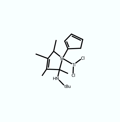 CC1=C(C)C(C)(NC(C)(C)C)[Si](C2=CC=CC2)([Ti]([Cl])[Cl])C1C